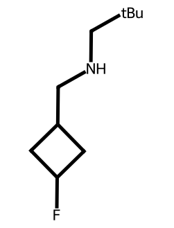 CC(C)(C)CNCC1CC(F)C1